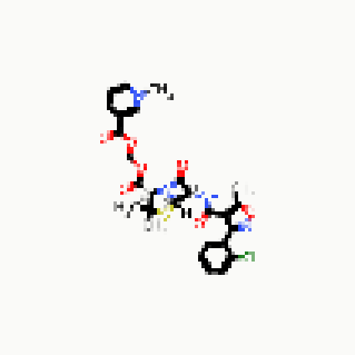 Cc1onc(-c2ccccc2Cl)c1C(=O)N[C@@H]1C(=O)N2[C@@H]1SC(C)(C)[C@@H]2C(=O)OCOC(=O)C1=CN(C)C=CC1